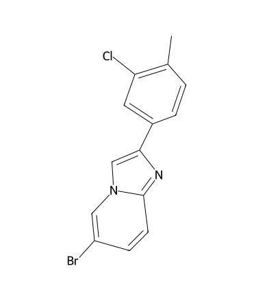 Cc1ccc(-c2cn3cc(Br)ccc3n2)cc1Cl